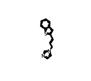 C(=Cc1cc2ccccc2s1)Cn1ccnc1